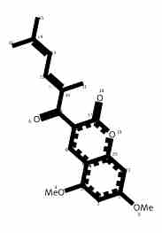 COc1cc(OC)c2cc(C(=O)/C(C)=C/C=C(C)C)c(=O)oc2c1